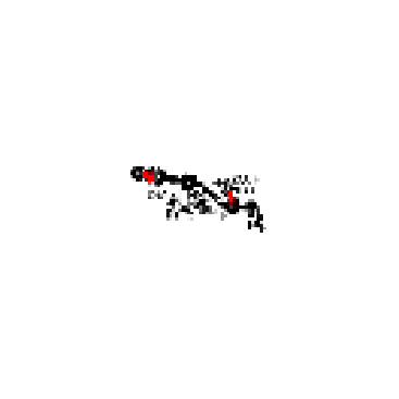 COC(=O)N[C@H](C(=O)N[C@H](C(=O)N[C@@H](Cc1ccc(C#Cc2cnc(N3CC4CC(C3)N4C3COC3)nc2)cc1)[C@@H](O)CN(Cc1c(F)cc(-c2ccn(CC(F)F)n2)cc1F)NC(=O)[C@@H](NC(=O)O)C(C)(C)C)C(C)(C)C)C(C)C